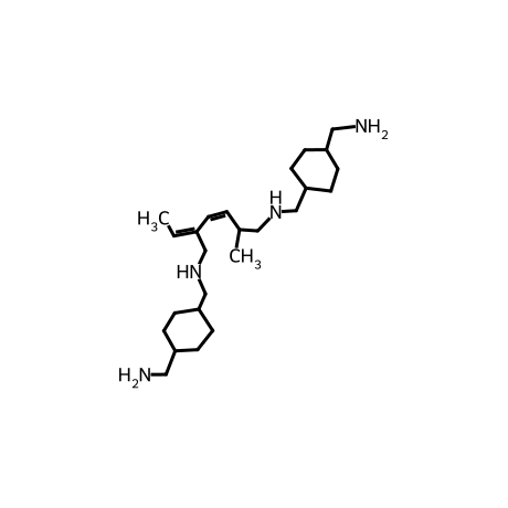 C/C=C(\C=C/C(C)CNCC1CCC(CN)CC1)CNCC1CCC(CN)CC1